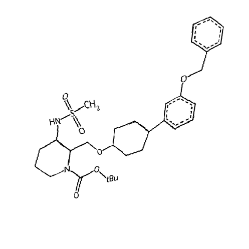 CC(C)(C)OC(=O)N1CCCC(NS(C)(=O)=O)C1COC1CCC(c2cccc(OCc3ccccc3)c2)CC1